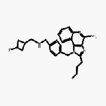 CCCCc1nc2c(N)nc3ccccc3c2n1Cc1ccc(CNCC2CC(F)C2)cc1